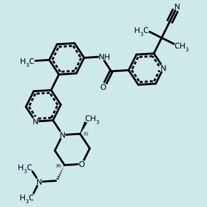 Cc1ccc(NC(=O)c2ccnc(C(C)(C)C#N)c2)cc1-c1ccnc(N2C[C@@H](CN(C)C)OC[C@@H]2C)c1